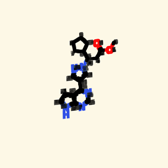 COC(=O)C[C@H](C1CCCC1)n1cc(-c2ncnc3[nH]ccc23)cn1